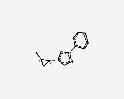 C[C@@H]1C[C@H]1c1cn(-c2ccccc2)nn1